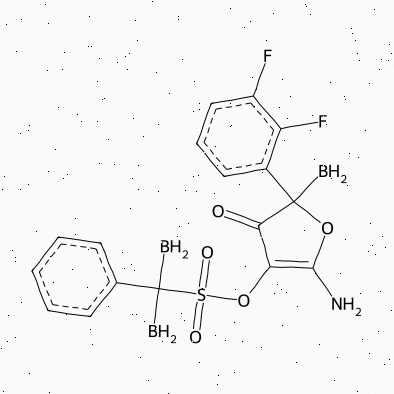 BC1(c2cccc(F)c2F)OC(N)=C(OS(=O)(=O)C(B)(B)c2ccccc2)C1=O